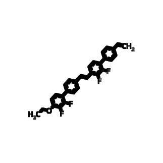 C=Cc1ccc(-c2ccc(/C=C/c3ccc(-c4ccc(OCC)c(F)c4F)cc3)c(F)c2F)cc1